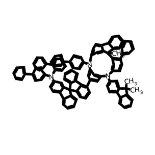 CC1(C)c2ccccc2-c2ccc(N3c4cc(-c5cccc6c5-c5ccccc5C65c6ccccc6-c6ccc(N(c7ccc(-c8ccccc8)cc7)c7ccccc7-c7ccccc7)cc65)cc(c4)N(c4ccc(-c5ccccc5)cc4)c4ccc5c(c4)C(C)(c4cc3ccc4-c3ccccc3)c3ccccc3-5)cc21